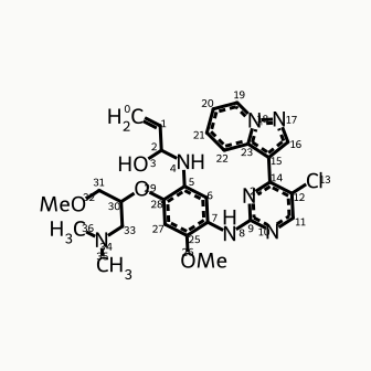 C=CC(O)Nc1cc(Nc2ncc(Cl)c(-c3cnn4ccccc34)n2)c(OC)cc1OC(COC)CN(C)C